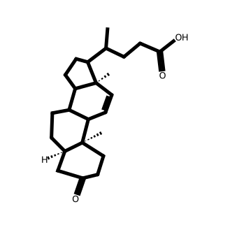 CC(CCC(=O)O)C1CCC2C3CC[C@@H]4CC(=O)CC[C@]4(C)C3C=C[C@]12C